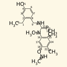 CCc1cc(O)ccc1CN/C(=P/C)N(C)c1cc(ONC)c(C)cc1C